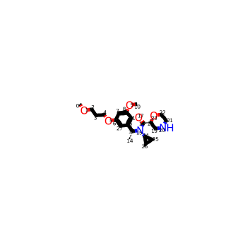 COCCCOc1cc(OC)cc([C@@H](C)N(C(=O)[C@H]2CNCCO2)C2CC2)c1